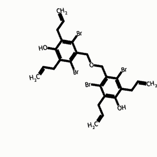 C=CCc1c(O)c(CC=C)c(Br)c(COCc2c(Br)c(CC=C)c(O)c(CC=C)c2Br)c1Br